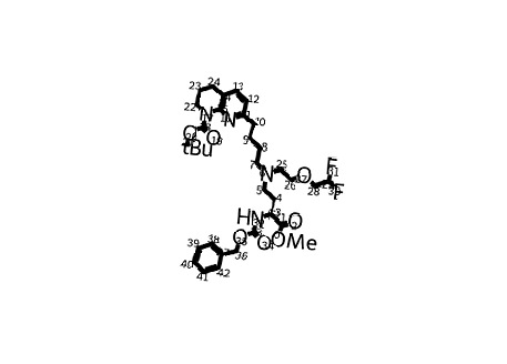 COC(=O)[C@H](CCN(CCCCc1ccc2c(n1)N(C(=O)OC(C)(C)C)CCC2)CCOCC(F)F)NC(=O)OCc1ccccc1